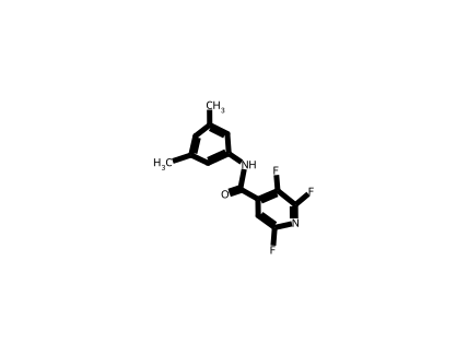 Cc1cc(C)cc(NC(=O)c2cc(F)nc(F)c2F)c1